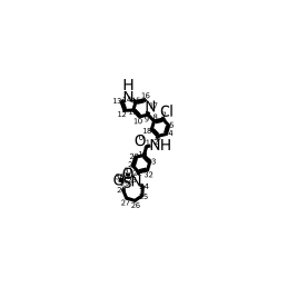 O=C(Nc1ccc(Cl)c(-c2cc3cc[nH]c3cn2)c1)c1ccc(N2CCCCCS2(=O)=O)cc1